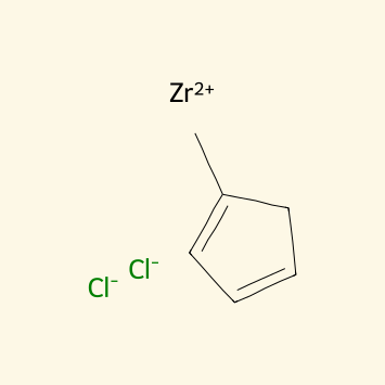 CC1=CC=CC1.[Cl-].[Cl-].[Zr+2]